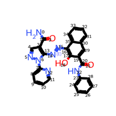 NC(=O)c1cnn(-c2ccccn2)c1/N=N/c1c(O)c(C(=O)Nc2ccccc2)cc2ccccc12